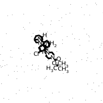 CC(C)(C)OC(=O)N1CCN(Cc2cccc(N3CC4CC[C@@H]3CN(c3cc(Cl)nnc3N)C4)c2)CC1